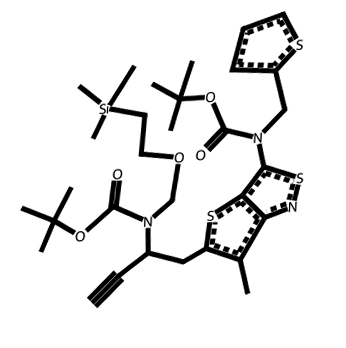 C#CC(Cc1sc2c(N(Cc3cccs3)C(=O)OC(C)(C)C)snc2c1C)N(COCC[Si](C)(C)C)C(=O)OC(C)(C)C